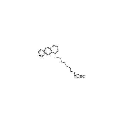 CCCCCCCCCCCCCCCCCCc1cccc2cc3ccccc3cc12